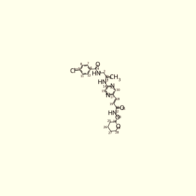 C[C@H](CNC(=O)c1ccc(Cl)cc1)Nc1cnc(C=CC(=O)NOC2CCCCO2)cn1